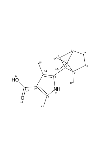 Cc1[nH]c(C2CC3CCC2(C)C3(C)C)c(C)c1C(=O)O